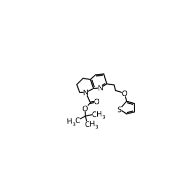 CC(C)(C)OC(=O)N1CCCc2ccc(CCOc3cccs3)nc21